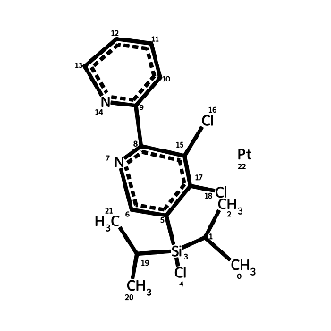 CC(C)[Si](Cl)(c1cnc(-c2ccccn2)c(Cl)c1Cl)C(C)C.[Pt]